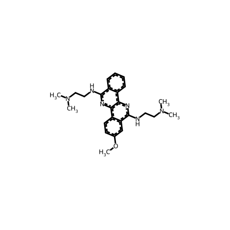 COc1ccc2c(c1)c(NCCN(C)C)nc1c3ccccc3c(NCCN(C)C)nc21